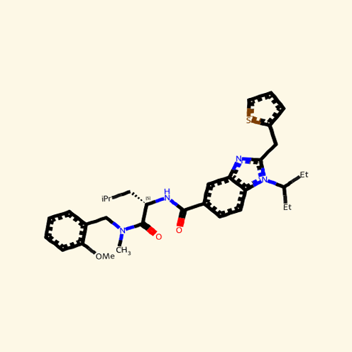 CCC(CC)n1c(Cc2cccs2)nc2cc(C(=O)N[C@@H](CC(C)C)C(=O)N(C)Cc3ccccc3OC)ccc21